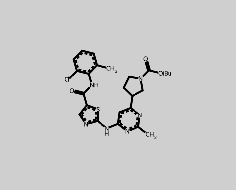 Cc1nc(Nc2ncc(C(=O)Nc3c(C)cccc3Cl)s2)cc(C2CCN(C(=O)OCC(C)C)C2)n1